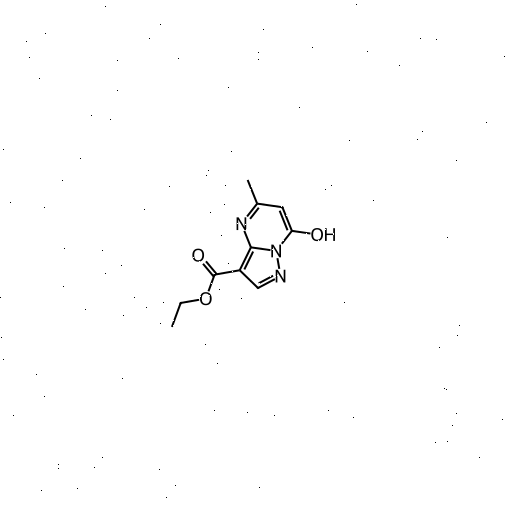 CCOC(=O)c1cnn2c(O)cc(C)nc12